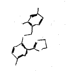 Cl.Clc1ccc(CSc2ccc(Cl)cc2C2=NCCN2)c(Cl)c1